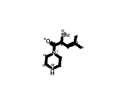 CC(C)=CC(C(=O)N1CCNCC1)C(C)(C)C